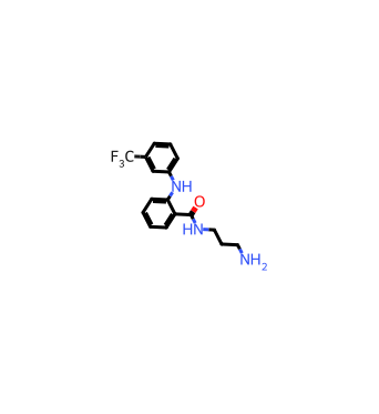 NCCCNC(=O)c1ccccc1Nc1cccc(C(F)(F)F)c1